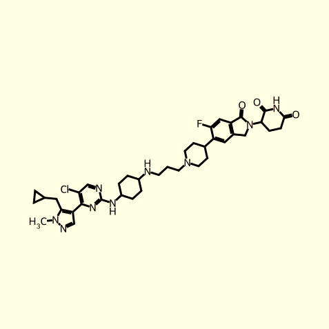 Cn1ncc(-c2nc(NC3CCC(NCCCN4CCC(c5cc6c(cc5F)C(=O)N(C5CCC(=O)NC5=O)C6)CC4)CC3)ncc2Cl)c1CC1CC1